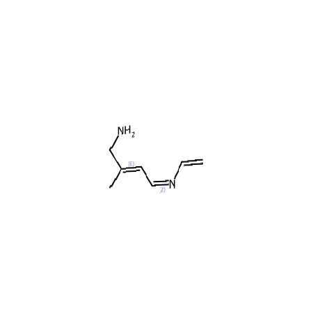 C=C/N=C\C=C(/C)CN